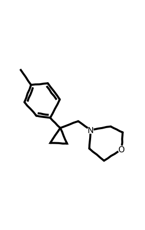 Cc1ccc(C2(CN3CCOCC3)CC2)cc1